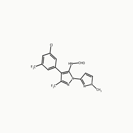 Cn1ccc(-n2nc(C(F)(F)F)c(-c3cc(Cl)cc(C(F)(F)F)c3)c2NC=O)n1